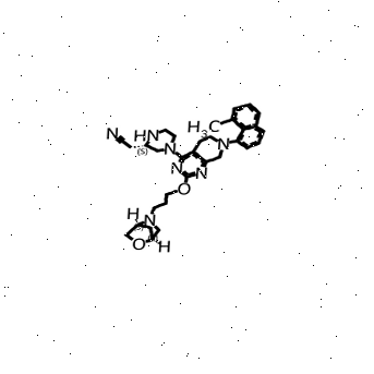 Cc1cccc2cccc(N3CCc4c(nc(OCCCN5C[C@@H]6C[C@H]5CO6)nc4N4CCN[C@@H](CC#N)C4)C3)c12